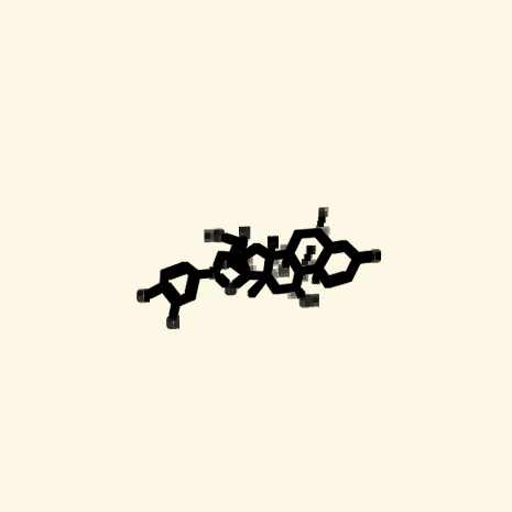 C[C@]12C=CC(=O)C=C1[C@@H](F)C[C@H]1[C@@H]3C[C@H]4CN(c5ccc(Cl)c(Cl)c5)O[C@@]4(C(=O)CO)[C@@]3(C)C[C@H](O)[C@@]12F